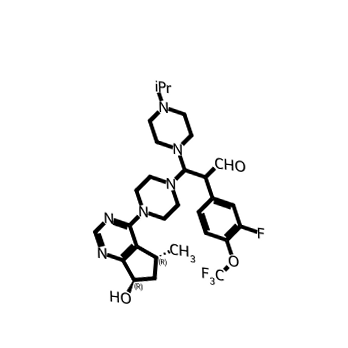 CC(C)N1CCN(C(C(C=O)c2ccc(OC(F)(F)F)c(F)c2)N2CCN(c3ncnc4c3[C@H](C)C[C@H]4O)CC2)CC1